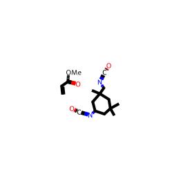 C=CC(=O)OC.CC1(C)CC(N=C=O)CC(C)(CN=C=O)C1